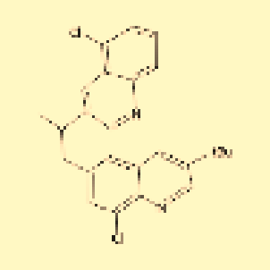 CC(Cc1cc(Cl)c2ncc(C(C)(C)C)cc2c1)c1cnc2cccc(Cl)c2c1